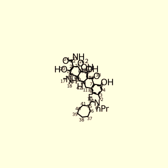 CCCN(Cc1cc(O)c2c(c1F)C[C@H]1C[C@H]3[C@H](N(C)C)C(O)=C(C(N)=O)C(=O)[C@@]3(O)C(O)=C1C2=O)CC1CCCCCC1